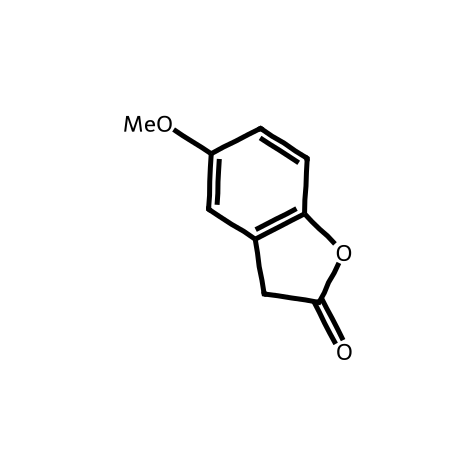 COc1ccc2c(c1)CC(=O)O2